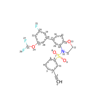 C#Cc1cccc(S(=O)(=O)N2CCOc3ccc(-c4cc(F)cc(OC(F)F)c4)cc32)c1